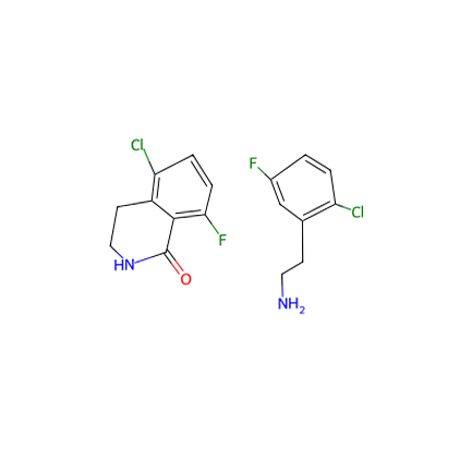 NCCc1cc(F)ccc1Cl.O=C1NCCc2c(Cl)ccc(F)c21